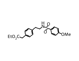 CCOC(=O)Cc1ccc(CCNS(=O)(=O)c2ccc(OC)cc2)cc1